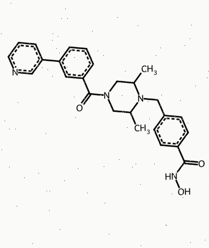 CC1CN(C(=O)c2cccc(-c3cccnc3)c2)CC(C)N1Cc1ccc(C(=O)NO)cc1